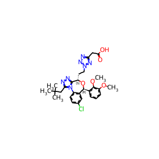 COc1cccc([C@@H]2O[C@@H](CCn3nnc(CC(=O)O)n3)c3nnc(CC(C)(C)C)n3-c3ccc(Cl)cc32)c1OC